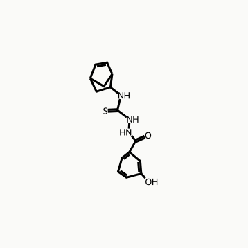 O=C(NNC(=S)NC1CC2C=CC1C2)c1cccc(O)c1